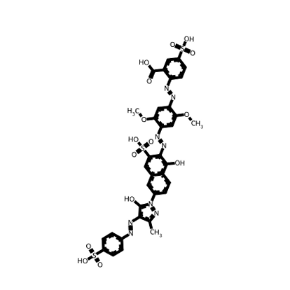 COc1cc(/N=N/c2c(S(=O)(=O)O)cc3cc(-n4nc(C)c(/N=N/c5ccc(S(=O)(=O)O)cc5)c4O)ccc3c2O)c(OC)cc1/N=N/c1ccc(S(=O)(=O)O)cc1C(=O)O